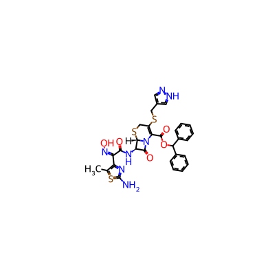 Cc1sc(N)nc1/C(=N/O)C(=O)N[C@@H]1C(=O)N2C(C(=O)OC(c3ccccc3)c3ccccc3)=C(SCc3cn[nH]c3)CS[C@@H]12